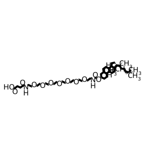 CC(C)CCC[C@@H](C)[C@H]1CC[C@H]2[C@@H]3CC=C4CC(OC(=O)NCCOCCOCCOCCOCCOCCOCCOCCNC(=O)CCC(=O)O)CC[C@]4(C)[C@H]3CC[C@]12C